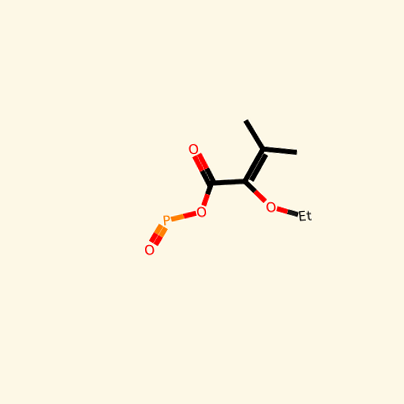 CCOC(C(=O)OP=O)=C(C)C